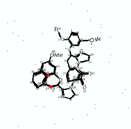 CCOc1ccc(OC)cc1OC(Cc1ccccc1)C1=NCCN1OC(=O)C(=O)ON1CCN=C1C(Cc1ccccc1)Oc1cc(OC)ccc1OCC